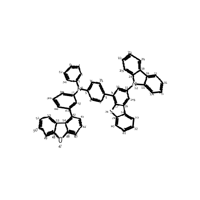 c1ccc(N(c2ccc(-c3cc(-n4c5ccccc5c5ccccc54)cc4c3sc3ccccc34)cc2)c2cccc(-c3cccc4oc5ccccc5c34)c2)cc1